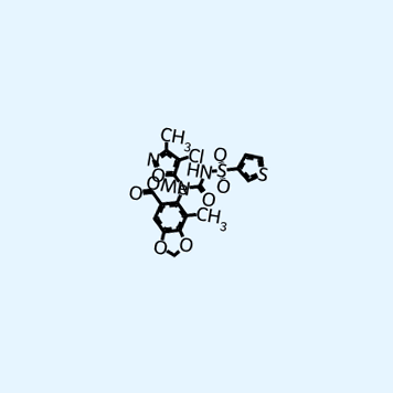 COC(=O)c1cc2c(c(C)c1N(C(=O)NS(=O)(=O)c1ccsc1)c1onc(C)c1Cl)OCO2